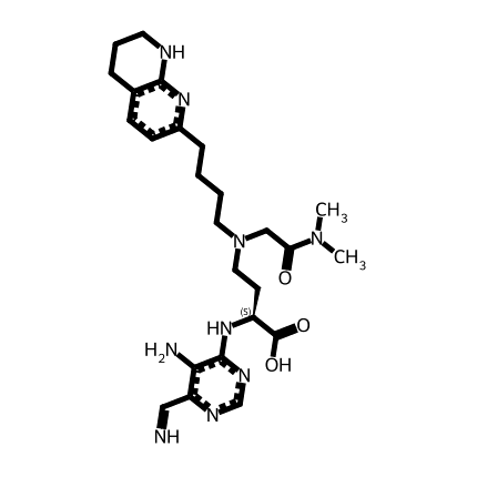 CN(C)C(=O)CN(CCCCc1ccc2c(n1)NCCC2)CC[C@H](Nc1ncnc(C=N)c1N)C(=O)O